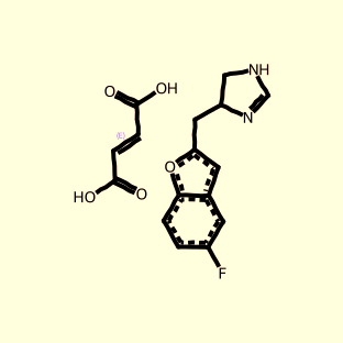 Fc1ccc2oc(CC3CNC=N3)cc2c1.O=C(O)/C=C/C(=O)O